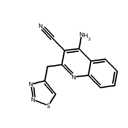 N#Cc1c(Cc2csnn2)nc2ccccc2c1N